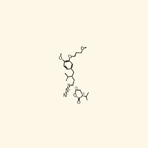 COCCCOc1cc(CC(CC(N=[N+]=[N-])[C@@H]2C[C@@H](C(C)C)C(=O)O2)C(C)C)ccc1OC